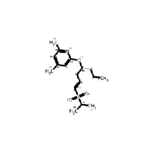 CCC[C@H](C/C=C/S(=O)(=O)C(C)C)Oc1cc(C)cc(C)n1